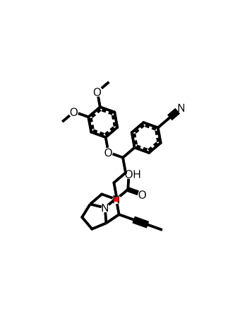 CC#CC1C2CCC(CN1C(=O)O)N2CCCC(Oc1ccc(OC)c(OC)c1)c1ccc(C#N)cc1